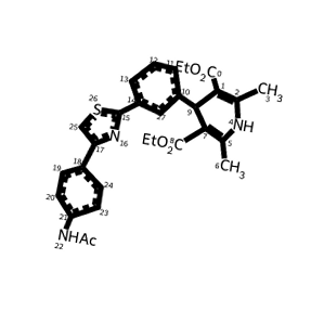 CCOC(=O)C1=C(C)NC(C)=C(C(=O)OCC)C1c1cccc(-c2nc(-c3ccc(NC(C)=O)cc3)cs2)c1